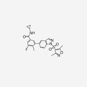 Cc1noc(C)c1S(=O)(=O)n1ncc2cc(-c3cc(C(=O)NC4CC4)cc(F)c3C)ccc21